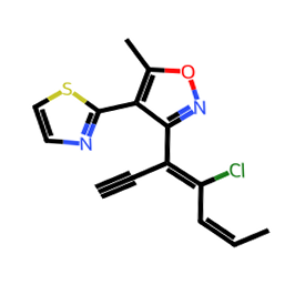 C#C/C(=C(Cl)\C=C/C)c1noc(C)c1-c1nccs1